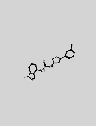 Cn1ncc2c(NC(=O)N[C@H]3CC[C@@H](c4cccc(F)c4)C3)cccc21